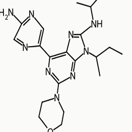 CCC(C)n1c(NC(C)C)nc2c(-c3cnc(N)cn3)nc(N3CCOCC3)nc21